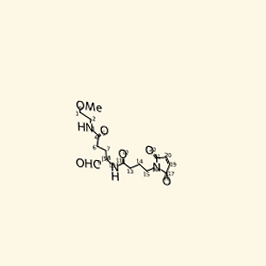 COCCNC(=O)CC[C@@H](C=O)NC(=O)CCCN1C(=O)C=CC1=O